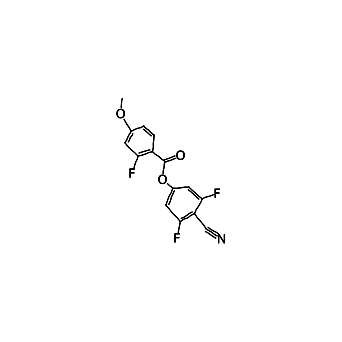 COc1ccc(C(=O)Oc2cc(F)c(C#N)c(F)c2)c(F)c1